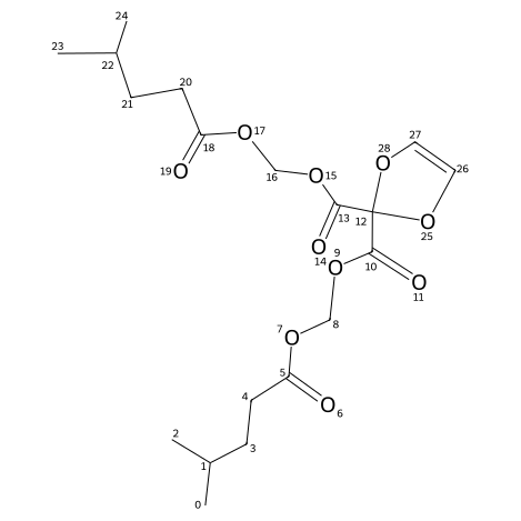 CC(C)CCC(=O)OCOC(=O)C1(C(=O)OCOC(=O)CCC(C)C)OC=CO1